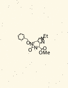 CCn1cc2c(n1)C(C(=O)OC)N1CC2N(OCc2ccccc2)C1=O